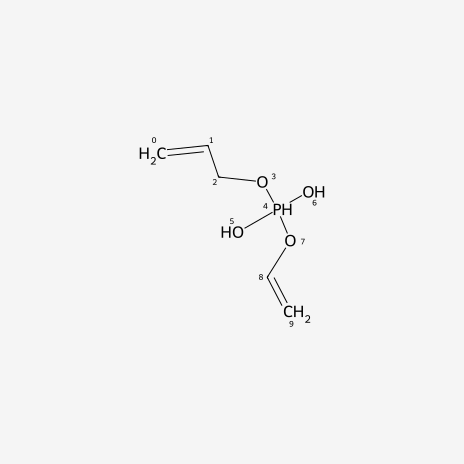 C=CCO[PH](O)(O)OC=C